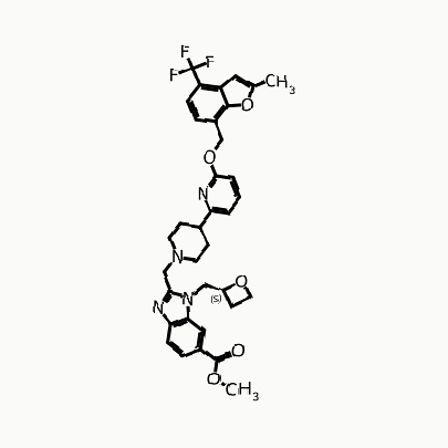 COC(=O)c1ccc2nc(CN3CCC(c4cccc(OCc5ccc(C(F)(F)F)c6cc(C)oc56)n4)CC3)n(C[C@@H]3CCO3)c2c1